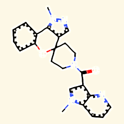 Cn1ncc2c1-c1ccccc1OC21CCN(C(=O)c2cn(C)c3cccnc23)CC1